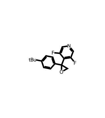 CC(C)(C)c1ccc(C2(c3c(F)cncc3F)CO2)cc1